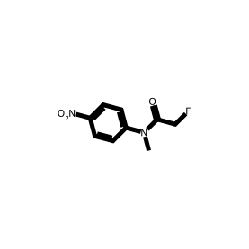 CN(C(=O)CF)c1ccc([N+](=O)[O-])cc1